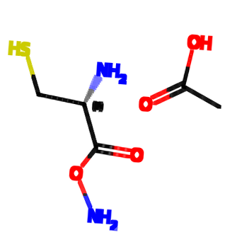 CC(=O)O.NOC(=O)[C@@H](N)CS